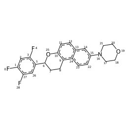 Fc1cc(F)c(C2CCc3c(ccc4cc(N5CCOCC5)ccc34)O2)cc1F